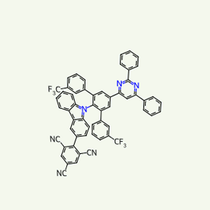 N#Cc1cc(C#N)c(-c2ccc3c(c2)c2ccccc2n3-c2c(-c3cccc(C(F)(F)F)c3)cc(-c3cc(-c4ccccc4)nc(-c4ccccc4)n3)cc2-c2cccc(C(F)(F)F)c2)c(C#N)c1